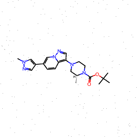 C[C@@H]1CN(c2cnn3cc(-c4cnn(C)c4)ccc23)CCN1C(=O)OC(C)(C)C